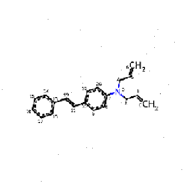 C=CCN(CC=C)c1ccc(C=Cc2ccccc2)cc1